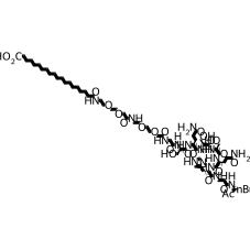 CCCC[C@H](NC(=O)CCNC(=O)[C@H](Cc1c[nH]cn1)NC(=O)[C@H](CCC(N)=O)NC(=O)[C@H](CO)NC(=O)[C@H](CO)NC(=O)[C@H](CCC(N)=O)NC(=O)[C@@H](CO)NC(=O)CNC(=O)COCCOCCNC(=O)COCCOCCNC(=O)CCCCCCCCCCCCCCCCCCC(=O)O)C(C)=O